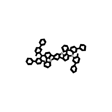 Cc1ccc(-c2ccccc2)cc1C(c1cc(-c2ccccc2)ccc1C)c1ccc2c3cc4c(cc3n3c5ccccc5c1c23)c1ccc(N(c2cc(-c3ccccc3)ccc2C)c2cc(-c3ccccc3)ccc2C)c2c3ccccc3n4c12